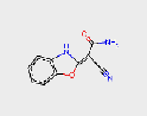 N#CC(C(N)=O)=C1Nc2ccccc2O1